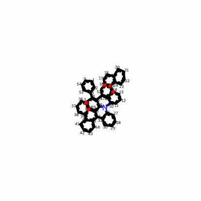 c1ccc(-c2cccc(N(c3cccc(-c4cccc5ccccc45)c3)c3ccccc3-c3cc4ccccc4c4ccccc34)c2-c2ccccc2)cc1